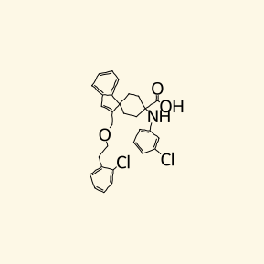 O=C(O)C1(Nc2cccc(Cl)c2)CCC2(CC1)C(COCCc1ccccc1Cl)=Cc1ccccc12